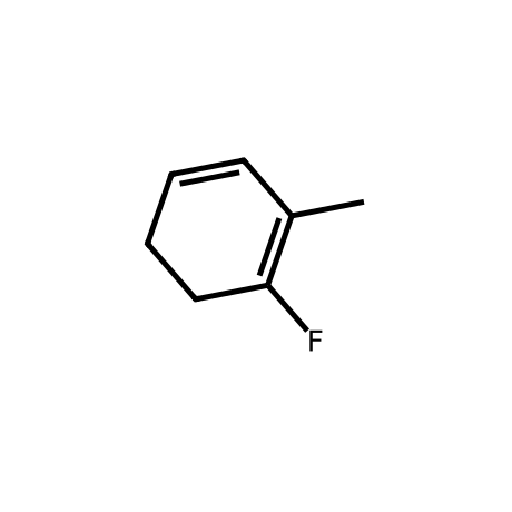 CC1=C(F)CCC=C1